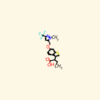 CCC(C(=O)O)c1csc2cc(OCc3cc(C(F)(F)F)nn3C)ccc12